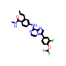 C/C=C/c1cc(Nc2nccn3c(-c4ccc(OC(F)F)c(F)c4)cnc23)ccc1C(=O)NC